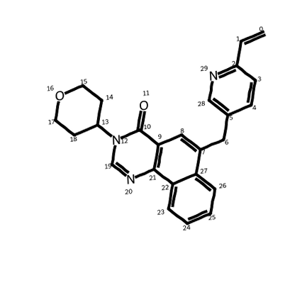 C=Cc1ccc(Cc2cc3c(=O)n(C4CCOCC4)cnc3c3ccccc23)cn1